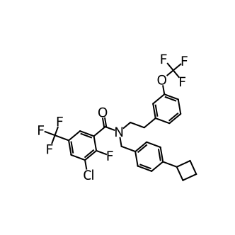 O=C(c1cc(C(F)(F)F)cc(Cl)c1F)N(CCc1cccc(OC(F)(F)F)c1)Cc1ccc(C2CCC2)cc1